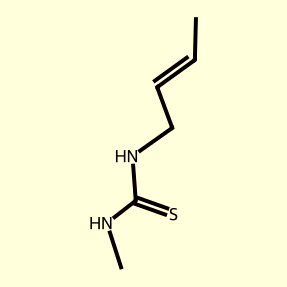 CC=CCNC(=S)NC